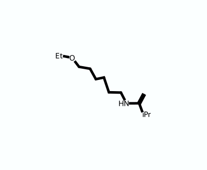 C=C(NCCCCCCOCC)C(C)C